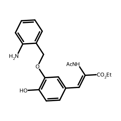 CCOC(=O)/C(=C/c1ccc(O)c(OCc2ccccc2N)c1)NC(C)=O